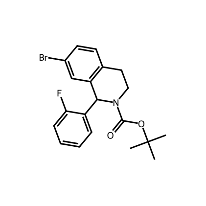 CC(C)(C)OC(=O)N1CCc2ccc(Br)cc2C1c1ccccc1F